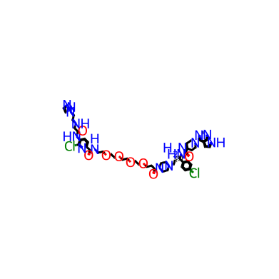 NC1(C(=O)N[C@@H](CCN2CCN(C(=O)CCOCCOCCOCCOCCNC(=O)c3ccc(NC(=O)CNCCn4ccnn4)c(Cl)n3)CC2)c2ccc(Cl)cc2)CCN(c2ncnc3[nH]ccc23)CC1